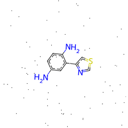 Nc1ccc(N)c(-c2cscn2)c1